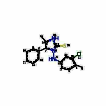 Cc1ccc(Nn2c(-c3ccccc3)c(C)[nH]c2=S)cc1Cl